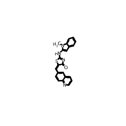 Cn1c(NC2=NC(=O)C(=Cc3ccc4ncccc4c3)S2)cc2ccccc21